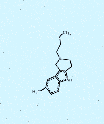 CCCCN1CCc2[nH]c3ccc(C)cc3c2C1